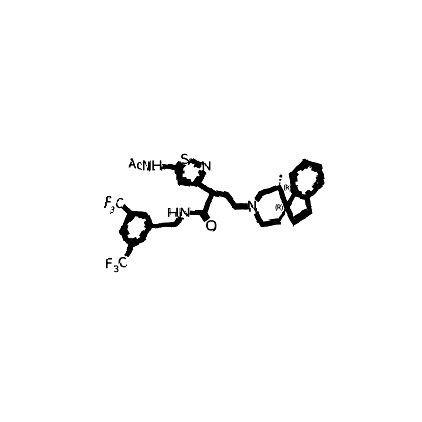 CC(=O)Nc1cc(C(CCN2CC[C@@]3(C=Cc4ccccc43)[C@@H](C)C2)C(=O)NCc2cc(C(F)(F)F)cc(C(F)(F)F)c2)ns1